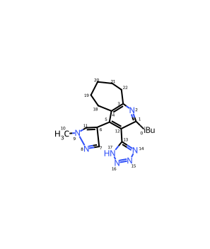 CCC(C)c1nc2c(c(-c3cnn(C)c3)c1-c1nnn[nH]1)CCCCC2